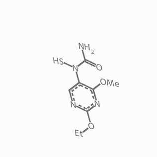 CCOc1ncc(N(S)C(N)=O)c(OC)n1